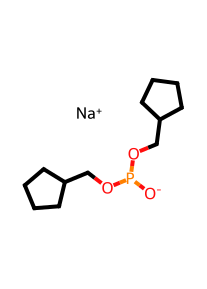 [Na+].[O-]P(OCC1CCCC1)OCC1CCCC1